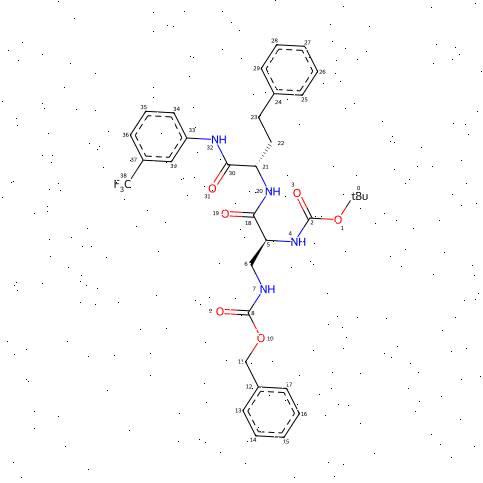 CC(C)(C)OC(=O)N[C@@H](CNC(=O)OCc1ccccc1)C(=O)N[C@@H](CCc1ccccc1)C(=O)Nc1cccc(C(F)(F)F)c1